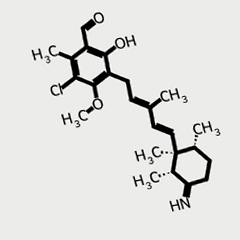 COc1c(Cl)c(C)c(C=O)c(O)c1C/C=C(C)/C=C/[C@@]1(C)[C@H](C)CCC(=N)[C@@H]1C